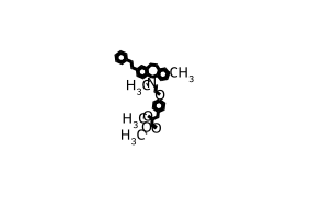 CCOC(=O)C(Cc1ccc(OCCN(C)C2c3ccc(C)cc3CCc3cc(CCc4ccccc4)ccc32)cc1)OC